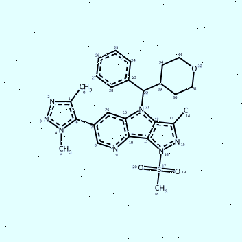 Cc1nnn(C)c1-c1cnc2c3c(c(Cl)nn3S(C)(=O)=O)n(C(c3ccccc3)C3CCOCC3)c2c1